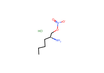 CCCC[C@H](N)CO[N+](=O)[O-].Cl